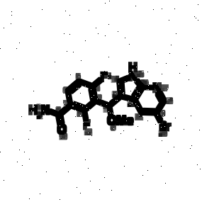 COC(c1c(F)ccc(C(N)=O)c1F)c1c[nH]c2ncc(Br)cc12